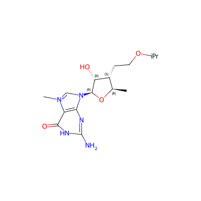 CC(C)OCC[C@H]1[C@@H](O)[C@H](n2c[n+](C)c3c(=O)[nH]c(N)nc32)O[C@@H]1C